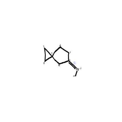 C/N=C1/CCC2(CC2)C1